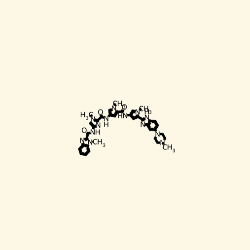 CN1CCN(c2ccc3[nH]c(-c4cc(NC(=O)c5cc(NC(=O)c6nc(NC(=O)c7nc8ccccc8n7C)cn6C)cn5C)cn4C)nc3c2)CC1